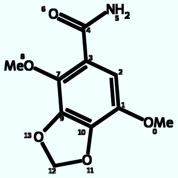 COc1cc(C(N)=O)c(OC)c2c1OCO2